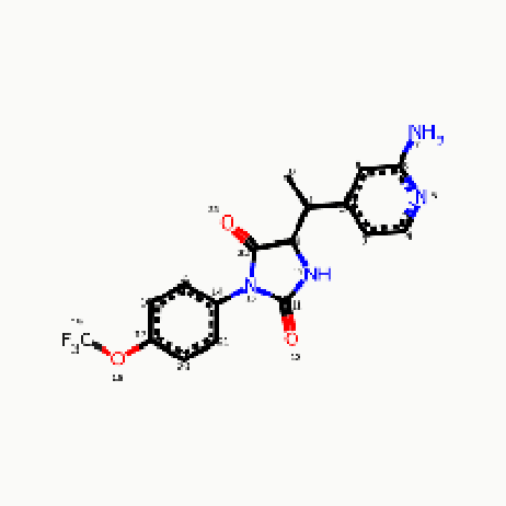 CC(c1ccnc(N)c1)C1NC(=O)N(c2ccc(OC(F)(F)F)cc2)C1=O